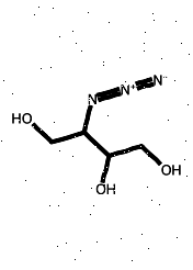 [N-]=[N+]=NC(CO)C(O)CO